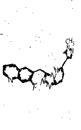 Cn1cc(-c2ccc3nnc(Cc4cc5cccnc5cc4F)n3n2)cn1